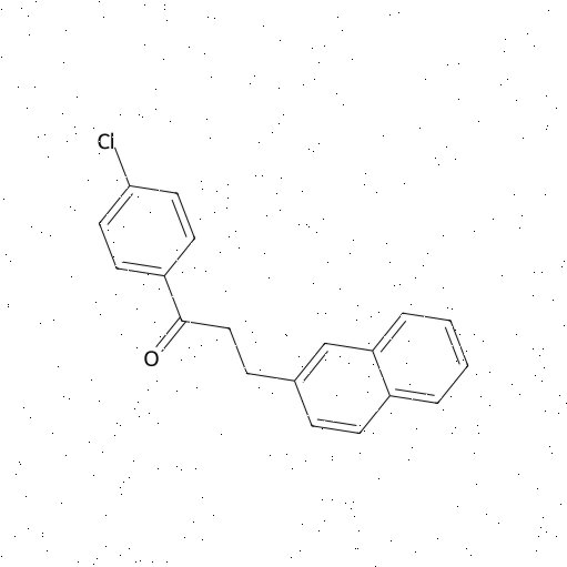 O=C(CCc1ccc2ccccc2c1)c1ccc(Cl)cc1